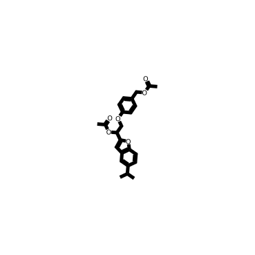 CC(=O)OCc1ccc(OCC(OC(C)=O)c2cc3cc(C(C)C)ccc3o2)cc1